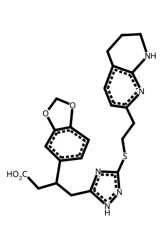 O=C(O)CC(Cc1nc(SCCc2ccc3c(n2)NCCC3)n[nH]1)c1ccc2c(c1)OCO2